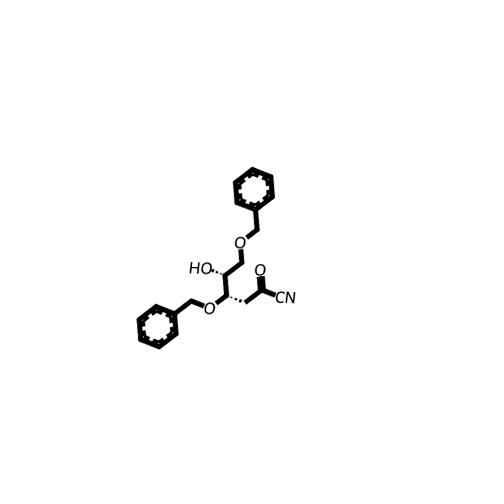 N#CC(=O)C[C@H](OCc1ccccc1)[C@H](O)COCc1ccccc1